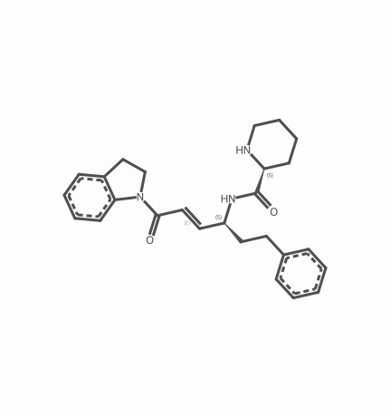 O=C(N[C@H](/C=C/C(=O)N1CCc2ccccc21)CCc1ccccc1)[C@@H]1CCCCN1